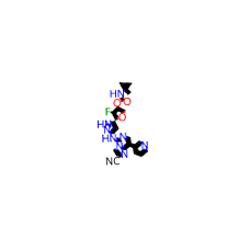 CC1(NC(=O)O[C@@H]2CO[C@H](c3cc(Nc4ncc(-c5cccnc5)c5nc(C#N)cn45)n[nH]3)[C@H]2F)CC1